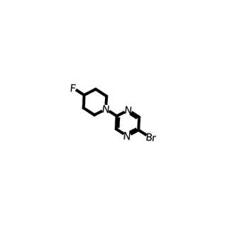 FC1CCN(c2cnc(Br)cn2)CC1